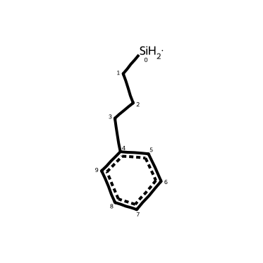 [SiH2]CCCc1ccccc1